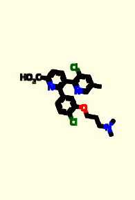 Cc1cnc(-c2ccc(C(=O)O)nc2-c2ccc(Cl)c(OCCCN(C)C)c2)c(Cl)c1